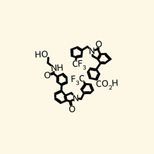 O=C(NCCO)c1cccc(-c2cccc3c2CN(Cc2cccc(C(F)(F)F)c2)C3=O)c1.O=C(O)c1cccc(-c2cccc3c2CN(Cc2cccc(C(F)(F)F)c2)C3=O)c1